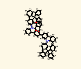 c1ccc(C2(c3ccccc3)c3ccccc3-c3ccc(N(c4ccccc4-c4ccc(-c5ccc6c7ccccc7n(-c7ccc8c(c7)C(c7ccccc7)(c7ccccc7)c7ccccc7-8)c6c5)cc4)c4cccc5ccccc45)cc32)cc1